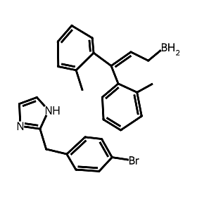 BCC=C(c1ccccc1C)c1ccccc1C.Brc1ccc(Cc2ncc[nH]2)cc1